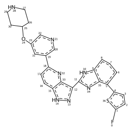 Fc1ccc(-c2cccc3[nH]c(-c4n[nH]c5ccc(-c6cncc(OC7CCNCC7)c6)nc45)nc23)s1